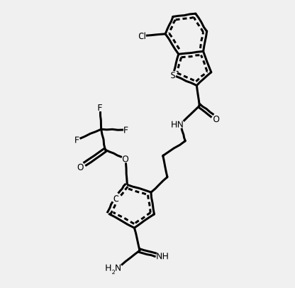 N=C(N)c1ccc(OC(=O)C(F)(F)F)c(CCCNC(=O)c2cc3cccc(Cl)c3s2)c1